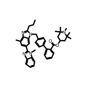 CCCc1nc2c(C)cc(-c3nc4ccccc4n3C)cc2n1Cc1ccc(-c2ccccc2C(=O)OC2CC(C)(C)N(C)C(C)(C)C2)cc1